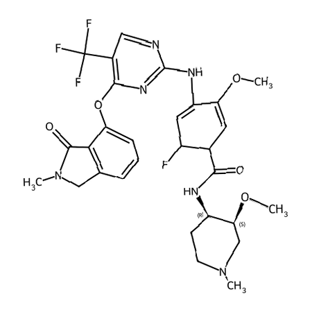 COC1=CC(C(=O)N[C@@H]2CCN(C)C[C@@H]2OC)C(F)C=C1Nc1ncc(C(F)(F)F)c(Oc2cccc3c2C(=O)N(C)C3)n1